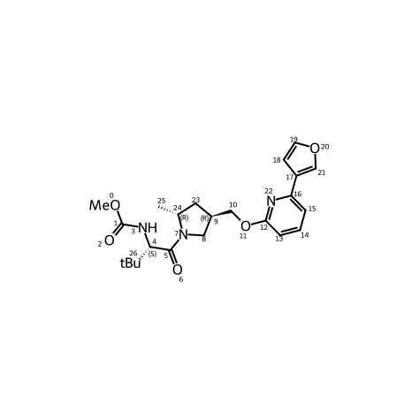 COC(=O)N[C@H](C(=O)N1C[C@H](COc2cccc(-c3ccoc3)n2)C[C@H]1C)C(C)(C)C